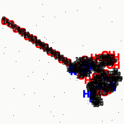 COCCOCCOCCOCCOCCOCCOCCOCCOCCOCCOCCOCCn1cc(CC(C(=O)N[C@H](C(=O)N[C@@H](C)C(=O)Nc2ccc(COC(=O)N(CCOC34CC5(C)CC(C)(CC(Cn6ncc(-c7ccc(N8CCc9cccc(C(=O)Nc%10nc%11ccccc%11s%10)c9C8)nc7C(=O)O)c6C)(C5)C3)C4)CCS(=O)(=O)O)c(CC[C@@H]3O[C@H](C(=O)O)[C@H](O)[C@@H](O)[C@H]3O)c2)C(C)C)N2C(=O)C=CC2=O)nn1